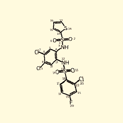 O=S(=O)(Nc1cc(Cl)c(Cl)cc1NS(=O)(=O)c1ccc(F)cc1Cl)c1cccs1